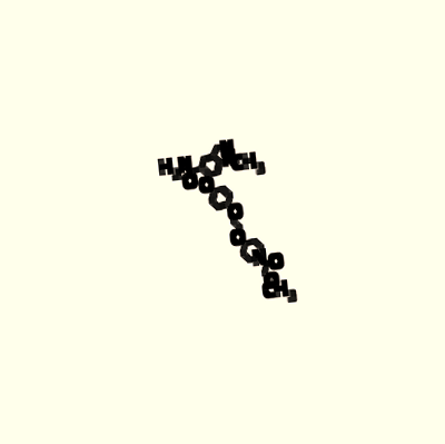 COCC(=O)N1CCC(OCCOc2ccc(Oc3cc4c(cnn4C)cc3C(N)=O)cc2)CC1